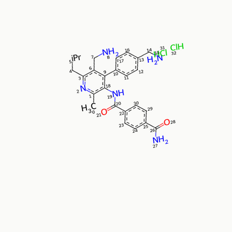 Cc1nc(CC(C)C)c(CN)c(-c2ccc(CN)cc2)c1NC(=O)c1ccc(C(N)=O)cc1.Cl.Cl